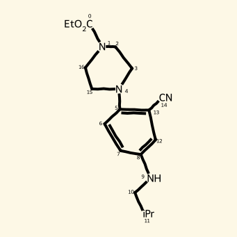 CCOC(=O)N1CCN(c2ccc(NCC(C)C)cc2C#N)CC1